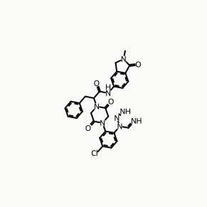 CN1Cc2cc(NC(=O)C(Cc3ccccc3)N3CC(=O)N(c4cc(Cl)ccc4N(C=N)N=N)CC3=O)ccc2C1=O